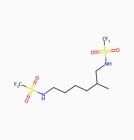 CC(CCCCNS(=O)(=O)C(F)(F)F)CNS(=O)(=O)C(F)(F)F